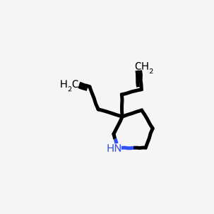 C=CCC1(CC=C)CCCNC1